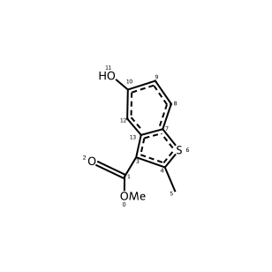 COC(=O)c1c(C)sc2ccc(O)cc12